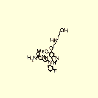 COc1cc2c(N(c3cccc(F)c3)c3cc(CC(N)=O)[nH]n3)ncnc2cc1OCCCNCCCCO